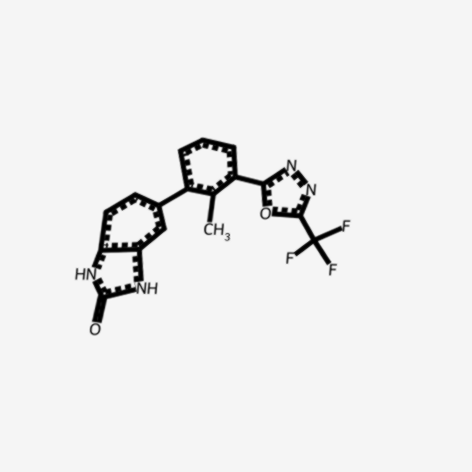 Cc1c(-c2ccc3[nH]c(=O)[nH]c3c2)cccc1-c1nnc(C(F)(F)F)o1